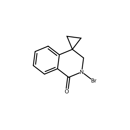 O=C1c2ccccc2C2(CC2)CN1Br